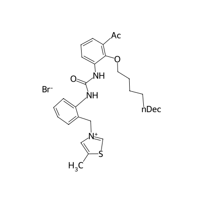 CCCCCCCCCCCCCCOc1c(NC(=O)Nc2ccccc2C[n+]2csc(C)c2)cccc1C(C)=O.[Br-]